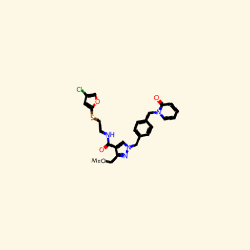 COCc1nn(Cc2ccc(Cn3ccccc3=O)cc2)cc1C(=O)NCCSc1cc(Cl)co1